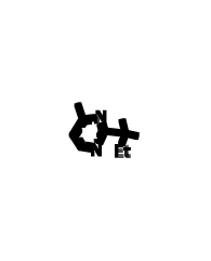 CCC(C)(C)c1nccc(C)n1